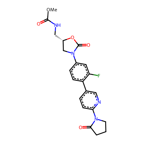 COC(=O)NC[C@H]1CN(c2ccc(-c3ccc(N4CCCC4=O)nc3)c(F)c2)C(=O)O1